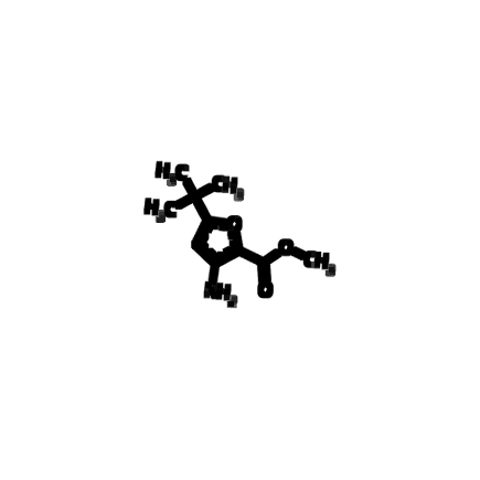 COC(=O)c1oc(C(C)(C)C)cc1N